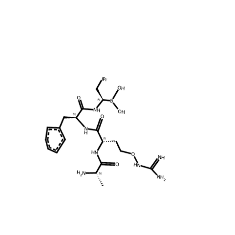 CC(C)C[C@H](NC(=O)[C@H](Cc1ccccc1)NC(=O)[C@H](CCONC(=N)N)NC(=O)[C@H](C)N)B(O)O